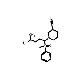 CC(C)CCC(N1CCCC(C#N)C1)S(=O)(=O)c1ccccc1